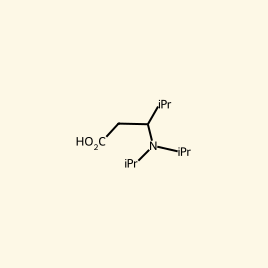 CC(C)C(CC(=O)O)N(C(C)C)C(C)C